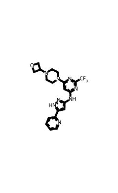 FC(F)(F)c1nc(Nc2cc(-c3ccccn3)[nH]n2)cc(N2CCN(C3COC3)CC2)n1